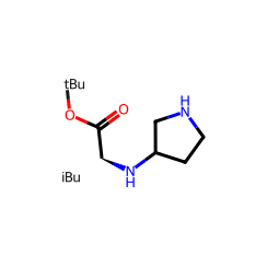 CC[C@H](C)[C@H](NC1CCNC1)C(=O)OC(C)(C)C